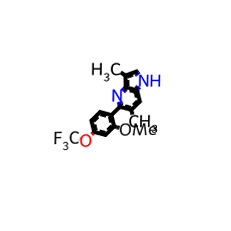 COc1cc(OC(F)(F)F)ccc1-c1nc2c(C)c[nH]c2cc1C